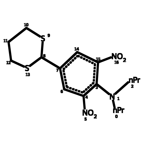 CCCN(CCC)c1c([N+](=O)[O-])cc(C2SCCCS2)cc1[N+](=O)[O-]